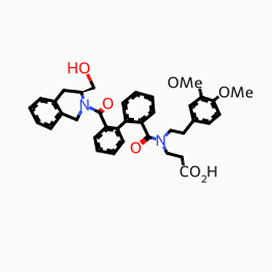 COc1ccc(CCN(CCC(=O)O)C(=O)c2ccccc2-c2ccccc2C(=O)N2Cc3ccccc3C[C@H]2CO)cc1OC